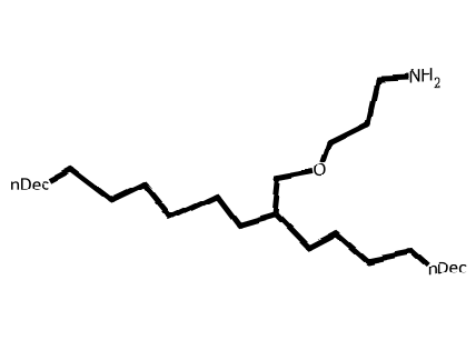 CCCCCCCCCCCCCCCCC(CCCCCCCCCCCCCC)COCCCN